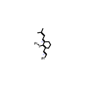 CC(C)=C/C=C1\CCCC(/C=C/C(C)C)=C1SC(C)C